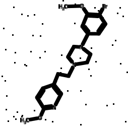 COc1ccc(CCN2CCN(c3ccc(Br)c(OC)c3)CC2)cn1